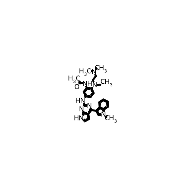 CCN(CCN(C)C)c1ccc(Nc2nc(-c3cn(C)c4ccccc34)c3cc[nH]c3n2)cc1NC(C)=O